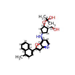 Cc1ccc(-c2cc3nccc(N[C@H]4CC(OC(C)(C)O)[C@@H](CO)C4)c3o2)c2ccccc12